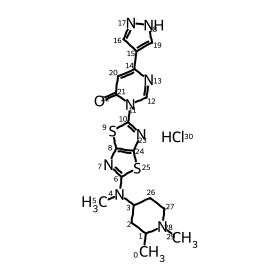 CC1CC(N(C)c2nc3sc(-n4cnc(-c5cn[nH]c5)cc4=O)nc3s2)CCN1C.Cl